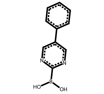 OB(O)c1ncc(-c2ccccc2)cn1